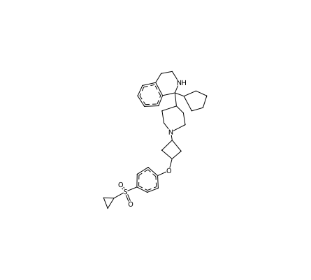 O=S(=O)(c1ccc(OC2CC(N3CCC(C4(C5CCCC5)NCCc5ccccc54)CC3)C2)cc1)C1CC1